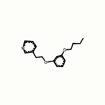 CCCCOc1cccc(OCCc2cccnc2)c1